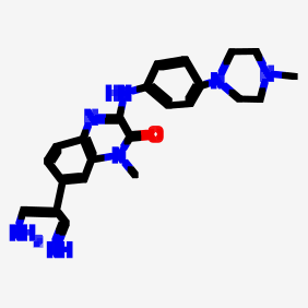 CN1CCN(c2ccc(Nc3nc4ccc(/C(C=N)=C/N)cc4n(C)c3=O)cc2)CC1